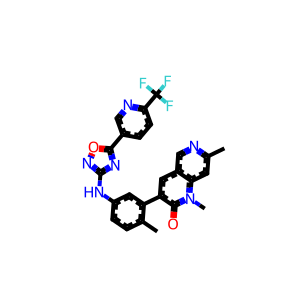 Cc1cc2c(cn1)cc(-c1cc(Nc3noc(-c4ccc(C(F)(F)F)nc4)n3)ccc1C)c(=O)n2C